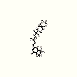 Cc1cc(CCC(=O)OCC(C)(C)C2OCC3(COCOC3)CO2)cc(C(C)(C)C)c1O